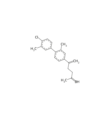 B=C(C)CCC(=C)c1ccc(-c2ccc(Cl)c(C)c2)c(C)c1